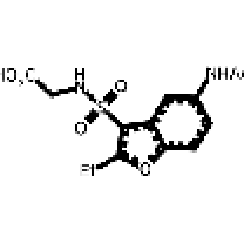 CCc1oc2ccc(NC(C)=O)cc2c1S(=O)(=O)NCC(=O)O